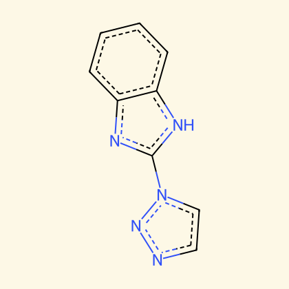 c1ccc2[nH]c(-n3ccnn3)nc2c1